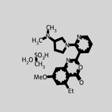 CCc1cc(OC)cc2nc(-c3cccnc3N3CCC(N(C)C)C3)oc(=O)c12.CS(=O)(=O)O.O